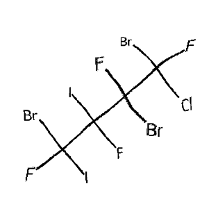 FC(Cl)(Br)C(F)(Br)C(F)(I)C(F)(Br)I